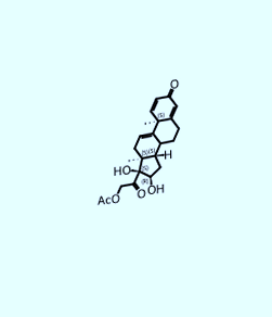 CC(=O)OCC(=O)[C@@]1(O)[C@H](O)C[C@H]2C3CCC4=CC(=O)C=C[C@]4(C)C3=CC[C@@]21C